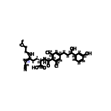 COCCN/C(CC[C@H](NC(=O)c1c(Cl)cc(CCC(O)c2cccc(O)c2)cc1Cl)C(=O)O)=N/C#N